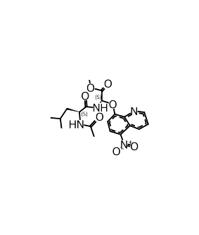 COC(=O)[C@@H](NC(=O)[C@H](CC(C)C)NC(C)=O)Oc1ccc([N+](=O)[O-])c2cccnc12